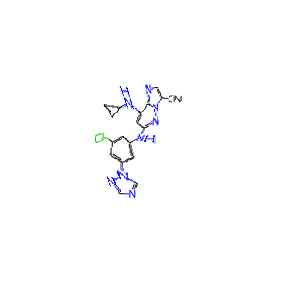 N#Cc1cnc2c(NC3CC3)cc(Nc3cc(Cl)cc(-n4cncn4)c3)nn12